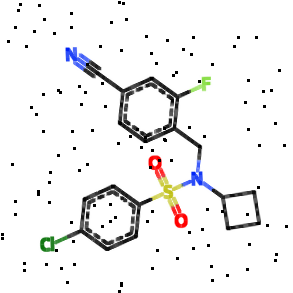 N#Cc1ccc(CN(C2CCC2)S(=O)(=O)c2ccc(Cl)cc2)c(F)c1